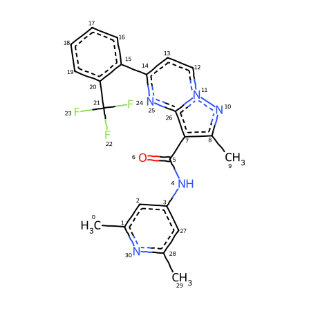 Cc1cc(NC(=O)c2c(C)nn3ccc(-c4ccccc4C(F)(F)F)nc23)cc(C)n1